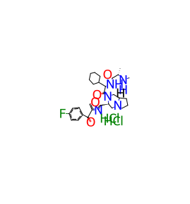 CN[C@@H](C)C(=O)N[C@H](C(=O)N1C[C@H]2CCCN2C[C@H]1c1nc(C(=O)c2ccc(F)cc2)co1)C1CCCCC1.Cl.Cl